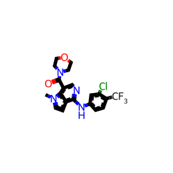 Cn1ccc2c(Nc3ccc(C(F)(F)F)c(Cl)c3)ncc(C(=O)N3CCOCC3)c21